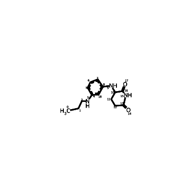 CCCNc1cccc(NC2CCC(=O)NC2=O)c1